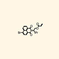 C=CC(=O)OCC(C(C)C)N1C(=O)c2cccc3c(Br)ccc(c23)C1=O